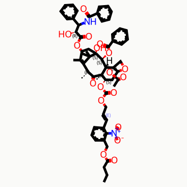 CCCC(=O)OCc1cccc(/C=C/COC(=O)O[C@H]2CC3OC[C@@]3(OC(C)=O)[C@H]3[C@H](OC(=O)c4ccccc4)[C@]4(O)CC(OC(=O)[C@H](O)C(NC(=O)c5ccccc5)c5ccccc5)C(C)=C([C@@H](C)C(=O)[C@]23C)C4(C)C)c1[N+](=O)[O-]